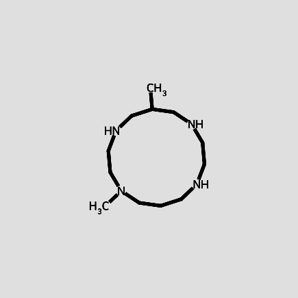 CC1CNCCNCCCN(C)CCNC1